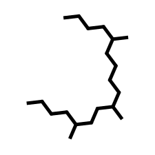 CCCCC(C)CCCCC(C)CCC(C)CCCC